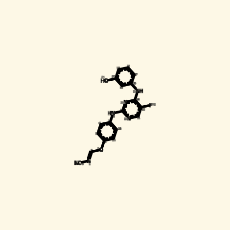 N#CN=COc1ccc(Nc2ncc(F)c(Nc3cccc(O)c3)n2)cc1